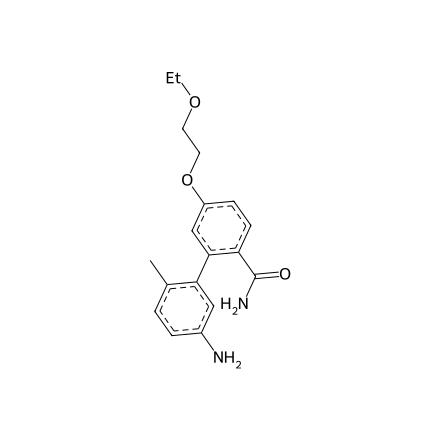 CCOCCOc1ccc(C(N)=O)c(-c2cc(N)ccc2C)c1